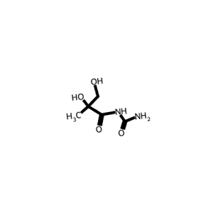 CC(O)(CO)C(=O)NC(N)=O